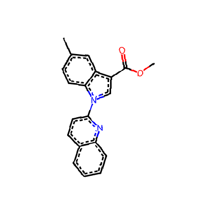 COC(=O)c1cn(-c2ccc3ccccc3n2)c2ccc(C)cc12